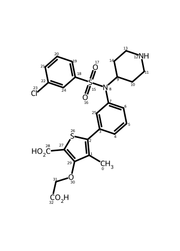 Cc1c(-c2cccc(N(C3CCNCC3)S(=O)(=O)c3cccc(Cl)c3)c2)sc(C(=O)O)c1OCC(=O)O